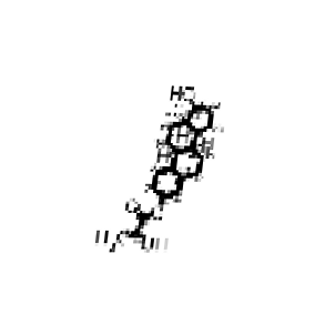 CC(O)C(=O)Oc1ccc2c(c1)CC[C@@H]1[C@@H]2CC[C@]2(C)[C@@H](O)CC[C@@H]12